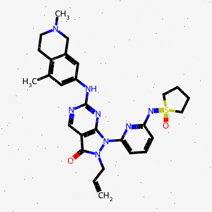 C=CCn1c(=O)c2cnc(Nc3cc(C)c4c(c3)CN(C)CC4)nc2n1-c1cccc(N=S2(=O)CCCC2)n1